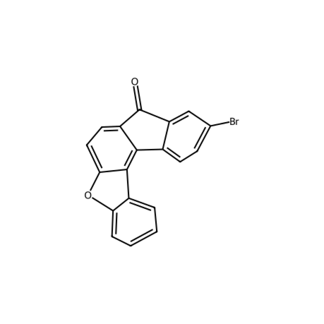 O=C1c2cc(Br)ccc2-c2c1ccc1oc3ccccc3c21